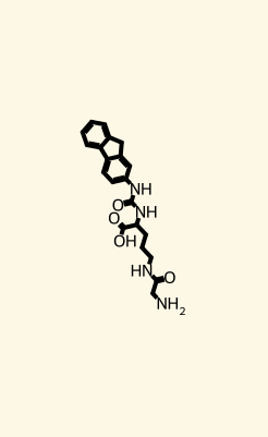 NCC(=O)NCCCC(NC(=O)Nc1ccc2c(c1)Cc1ccccc1-2)C(=O)O